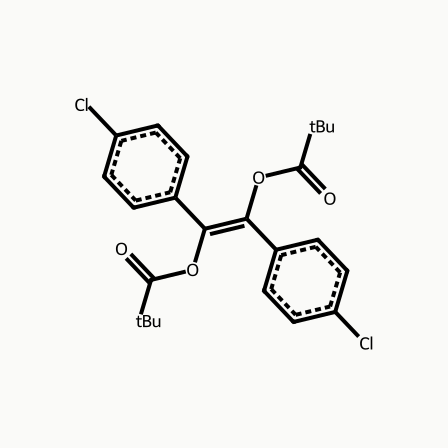 CC(C)(C)C(=O)O/C(=C(/OC(=O)C(C)(C)C)c1ccc(Cl)cc1)c1ccc(Cl)cc1